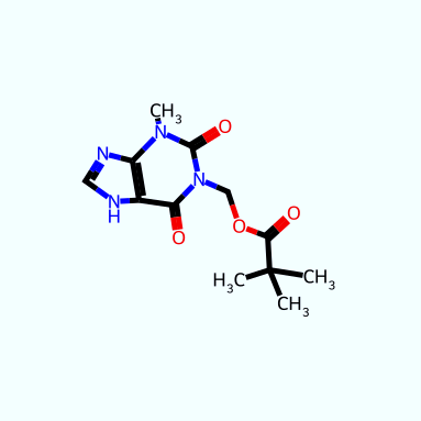 Cn1c(=O)n(COC(=O)C(C)(C)C)c(=O)c2[nH]cnc21